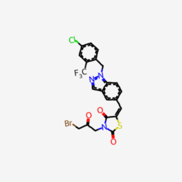 O=C(CBr)CN1C(=O)SC(=Cc2ccc3c(cnn3Cc3ccc(Cl)cc3C(F)(F)F)c2)C1=O